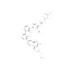 COc1nc(-c2cccc(-c3cccc(-c4ccn5c(=O)c(CNCCO)c(C)nc5c4)c3Cl)c2Cl)ccc1CNCC1CCC(=O)N1